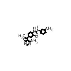 Cc1cccc(NC(=O)Nc2ccc(-c3c(C)sc4ncnc(N)c34)cc2Cl)c1